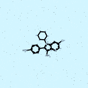 Nc1ccc(-c2c(N)c3ncc(Cl)cc3n2C2CCCCC2)cc1